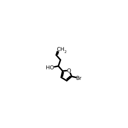 C=CCC(O)c1ccc(Br)o1